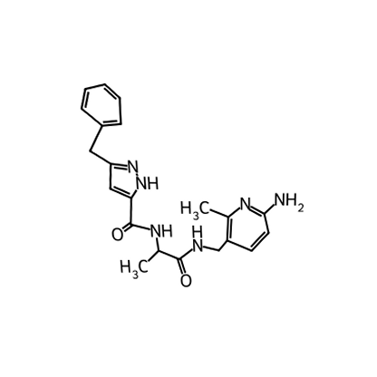 Cc1nc(N)ccc1CNC(=O)C(C)NC(=O)c1cc(Cc2ccccc2)n[nH]1